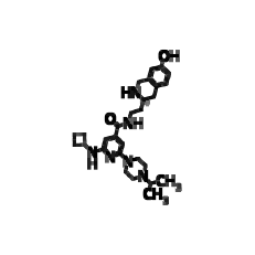 CC(C)N1CCN(c2cc(C(=O)NCC[C@@H]3Cc4ccc(O)cc4CN3)cc(NC3CCC3)n2)CC1